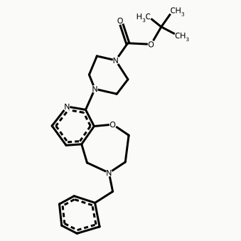 CC(C)(C)OC(=O)N1CCN(c2nccc3c2OCCN(Cc2ccccc2)C3)CC1